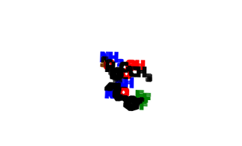 CC(C)(O)OC1C[C@@H](COSN)C[C@H]1Nc1ccnc2cc(-c3cccc(C(F)(F)F)c3)oc12